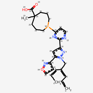 C=C/C=C(\C=C/C)Cn1nc(-c2nccc(P3CCCC(C)(C(=O)O)CCC3)n2)cc1-c1ccon1